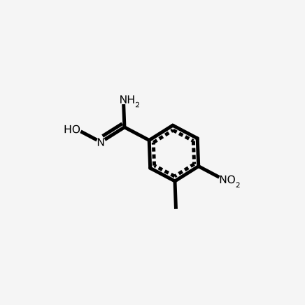 Cc1cc(C(N)=NO)ccc1[N+](=O)[O-]